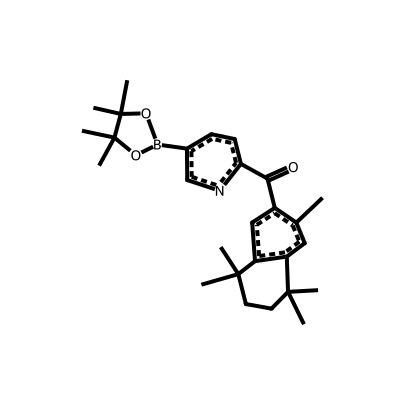 Cc1cc2c(cc1C(=O)c1ccc(B3OC(C)(C)C(C)(C)O3)cn1)C(C)(C)CCC2(C)C